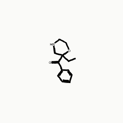 CCC1(C(=O)c2ccccc2)CNCCO1